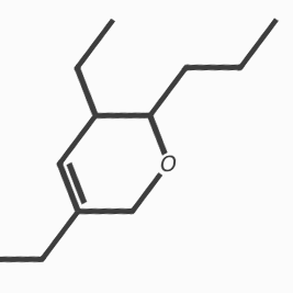 CCCC1OCC(CC)=CC1CC